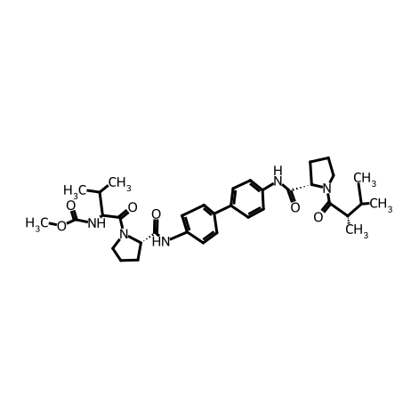 COC(=O)N[C@H](C(=O)N1CCC[C@H]1C(=O)Nc1ccc(-c2ccc(NC(=O)[C@@H]3CCCN3C(=O)[C@@H](C)C(C)C)cc2)cc1)C(C)C